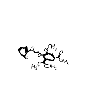 COc1cc(C(=O)O)cc(C(C)C)c1OCCOc1ccccc1F